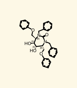 O=C1N(Cc2ccccc2)[C@H](COc2ccccc2)[C@H](O)[C@@H](O)[C@@H](COc2ccccc2)N1Cc1ccccc1